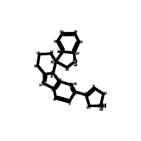 C1=C(c2ccc3nc4n(c3n2)C2(CCC4)COc3ccccc32)CNC1